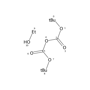 CC(C)(C)OC(=O)OC(=O)OC(C)(C)C.CCO